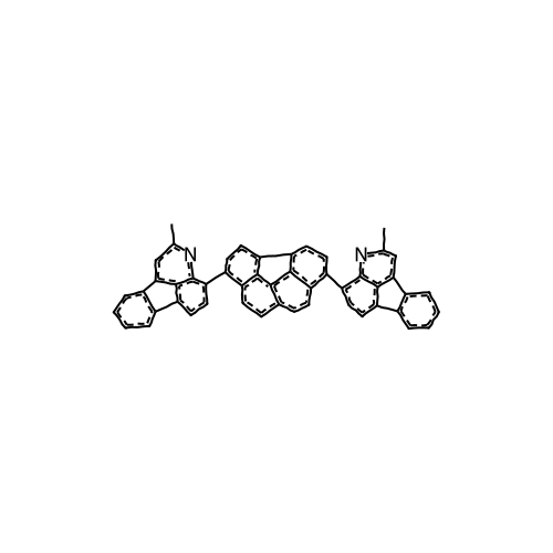 Cc1cc2c3c(ccc(-c4ccc5c6c4ccc4ccc7c(-c8ccc9c%10c(cc(C)nc8%10)-c8ccccc8-9)ccc-5c7c46)c3n1)-c1ccccc1-2